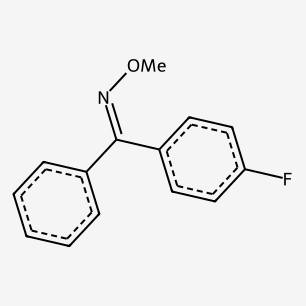 CON=C(c1ccccc1)c1ccc(F)cc1